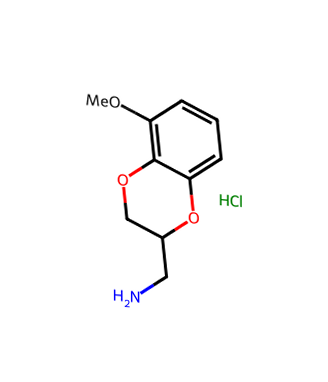 COc1cccc2c1OCC(CN)O2.Cl